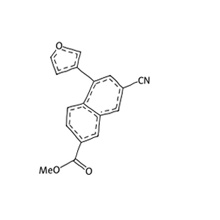 COC(=O)c1ccc2c(-c3ccoc3)cc(C#N)cc2c1